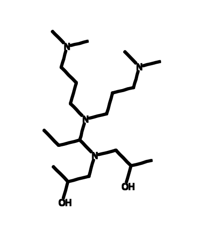 CCC(N(CCCN(C)C)CCCN(C)C)N(CC(C)O)CC(C)O